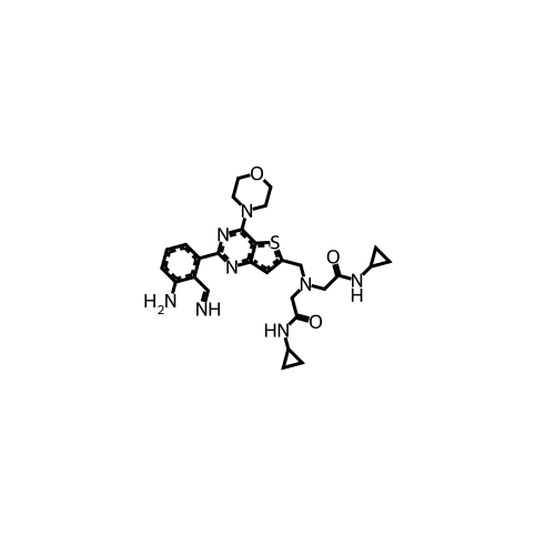 N=Cc1c(N)cccc1-c1nc(N2CCOCC2)c2sc(CN(CC(=O)NC3CC3)CC(=O)NC3CC3)cc2n1